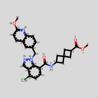 COC(=O)C1CC2(CC(NC(=O)c3ccc(Cl)c4cnn(Cc5ccc6nc(OC)ccc6c5)c34)C2)C1